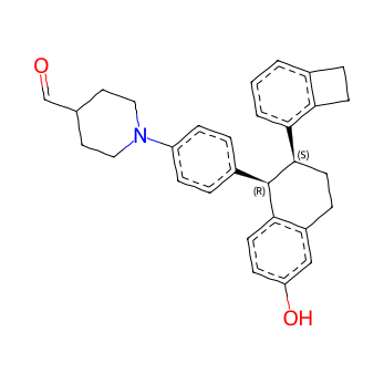 O=CC1CCN(c2ccc([C@@H]3c4ccc(O)cc4CC[C@@H]3c3cccc4c3CC4)cc2)CC1